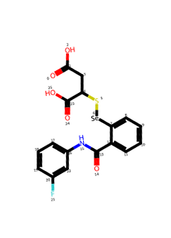 O=C(O)CC(S[Se]c1ccccc1C(=O)Nc1cccc(F)c1)C(=O)O